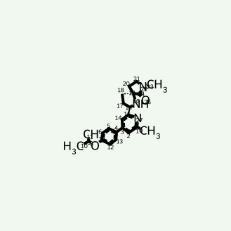 Cc1cc(-c2ccc(OC(C)C)cc2)cc([C@H]2CC[C@@]3(CCN(C)C3=O)N2)n1